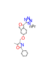 CCCn1nnnc1-c1occ2cc(OCc3nc(-c4ccccc4)oc3C)ccc12